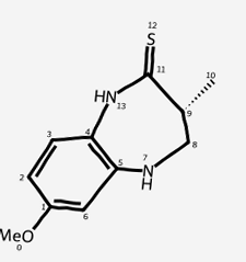 COc1ccc2c(c1)NC[C@@H](C)C(=S)N2